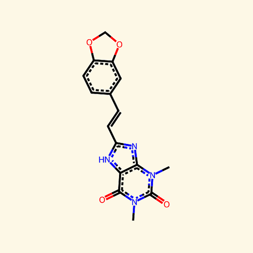 Cn1c(=O)c2[nH]c(C=Cc3ccc4c(c3)OCO4)nc2n(C)c1=O